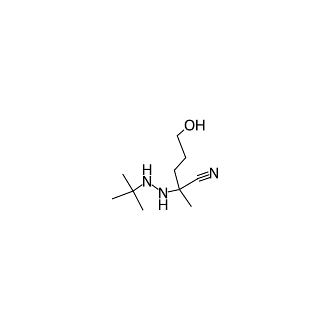 CC(C)(C)NNC(C)(C#N)CCCO